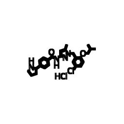 Cc1cc(NC(=O)c2ccc(C3CCCN3)cc2)nn1Cc1cc(Cl)ccc1OCC(C)C.Cl